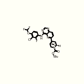 CC(C)(C)OC(=O)N1CC2CC[C@H]1CN2c1ccc2ncnc(Nc3ccc(OC(F)F)c(Cl)c3F)c2n1